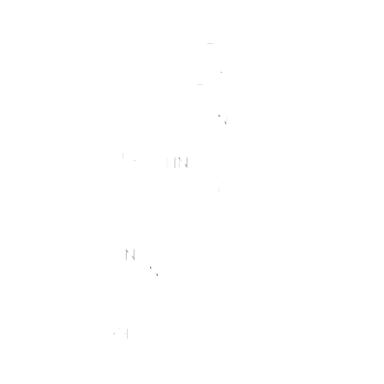 O=C(Nc1cc2cn(CCO)nc2cc1Cl)c1cccc(C(F)(F)F)n1